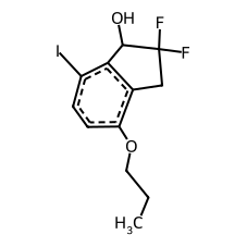 CCCOc1ccc(I)c2c1CC(F)(F)C2O